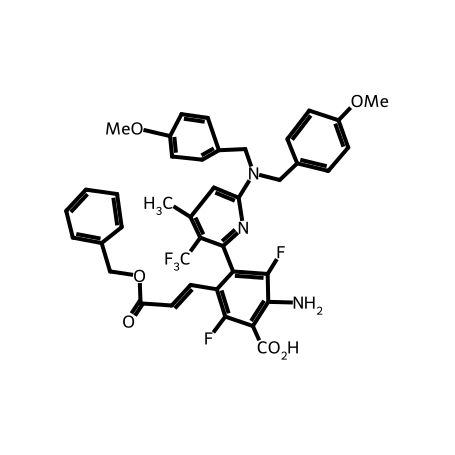 COc1ccc(CN(Cc2ccc(OC)cc2)c2cc(C)c(C(F)(F)F)c(-c3c(F)c(N)c(C(=O)O)c(F)c3C=CC(=O)OCc3ccccc3)n2)cc1